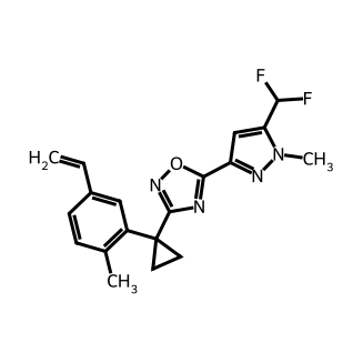 C=Cc1ccc(C)c(C2(c3noc(-c4cc(C(F)F)n(C)n4)n3)CC2)c1